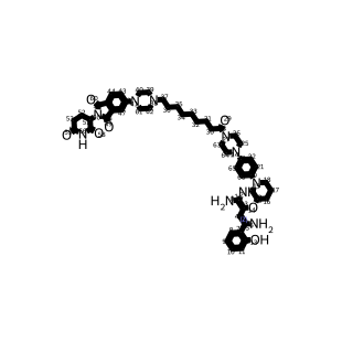 NC(N)=C(/C=C(\N)c1ccccc1O)OC1CCCN(c2ccc(N3CCN(C(=O)CCCCCCCCN4CCN(c5ccc6c(c5)C(=O)N(C5CCC(=O)NC5=O)C6=O)CC4)CC3)cc2)C1